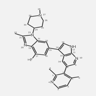 Cc1ccnc(C)c1-c1cnc2[nH]cc(-c3cc(F)c4nc(C)n(C5CCN(C)CC5)c4c3)c2c1